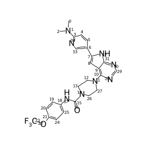 CN(C)c1ccc(-c2cc3c(N4CCN(C(=O)Nc5ccc(OC(F)(F)F)cc5)CC4)ncnc3[nH]2)cn1